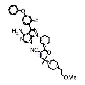 COCCN1CCN(C(C)(C)/C=C(/C#N)C(=O)N2CCC[C@@H](n3nc(-c4ccc(Oc5ccccc5)cc4F)c4c(N)ncnc43)C2)CC1